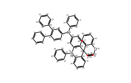 c1ccc(-c2ccc(N(c3ccccc3)c3ccc4c(c3)[SiH](c3ccccc3)c3ccccc3C43c4ccccc4Oc4ccccc43)cc2-c2ccccc2)cc1